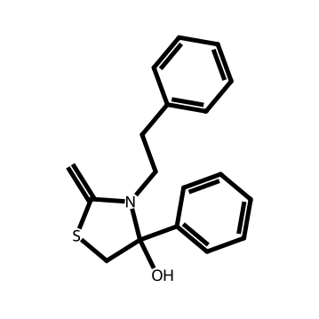 C=C1SCC(O)(c2ccccc2)N1CCc1ccccc1